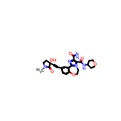 CN1CC[C@@](O)(C#Cc2ccc3c(c2)-c2nc(C(N)=O)c(C(=O)NC4CCOCC4)n2CCO3)C1=O